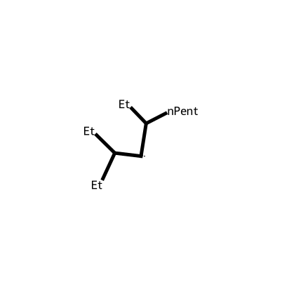 CCCCCC([CH]C(CC)CC)CC